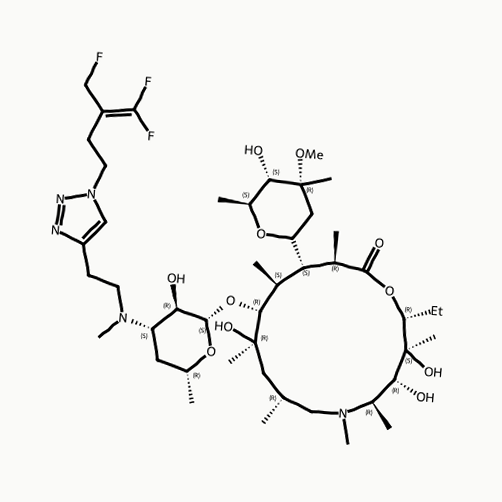 CC[C@H]1OC(=O)[C@H](C)[C@@H](C2C[C@@](C)(OC)[C@@H](O)[C@H](C)O2)[C@H](C)[C@@H](O[C@@H]2O[C@H](C)C[C@H](N(C)CCc3cn(CCC(CF)=C(F)F)nn3)[C@H]2O)[C@](C)(O)C[C@@H](C)CN(C)[C@H](C)[C@@H](O)[C@]1(C)O